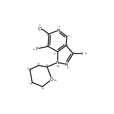 Fc1c(Cl)ncc2c(I)nn(C3CCCCO3)c12